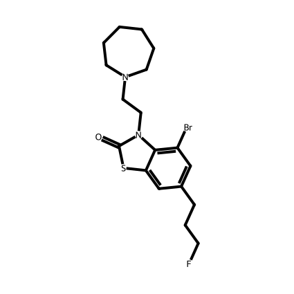 O=c1sc2cc(CCCF)cc(Br)c2n1CCN1CCCCCC1